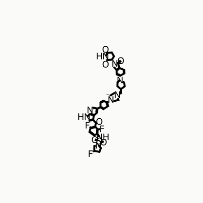 C[C@@H]1CN(CC2CCN(c3ccc4c(c3)CN(C3CCC(=O)NC3=O)C4=O)CC2)CCN1c1ccc(-c2cnc3[nH]cc(C(=O)c4c(F)ccc(NS(=O)(=O)N5CC[C@@H](F)C5)c4F)c3c2)cc1